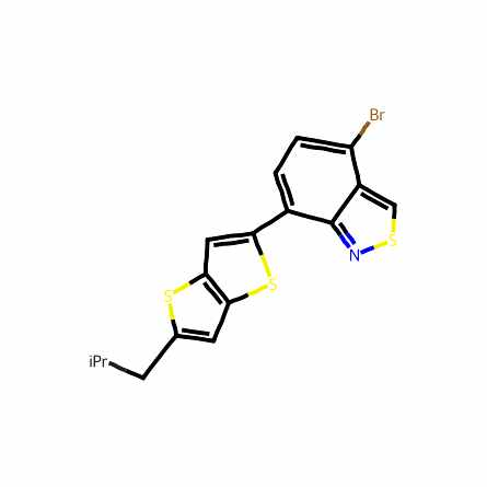 CC(C)Cc1cc2sc(-c3ccc(Br)c4csnc34)cc2s1